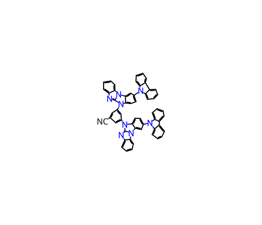 N#Cc1cc(-n2c3ccc(-n4c5ccccc5c5ccccc54)cc3n3c4ccccc4nc23)cc(-n2c3ccc(-n4c5ccccc5c5ccccc54)cc3n3c4ccccc4nc23)c1